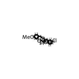 COc1ccc(CN2CC(O)(Cc3cccc(Cl)c3)C(F)(F)C2=O)cc1